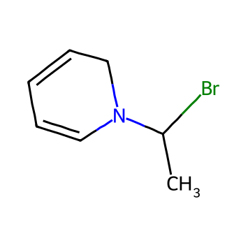 CC(Br)N1C=CC=CC1